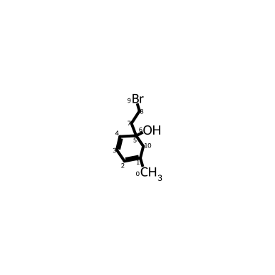 CC1=CC=CC(O)(CCBr)C1